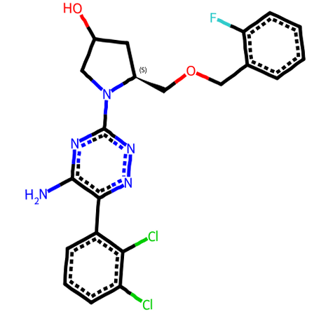 Nc1nc(N2CC(O)C[C@H]2COCc2ccccc2F)nnc1-c1cccc(Cl)c1Cl